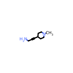 CN1CCC(C#CCN)CC1